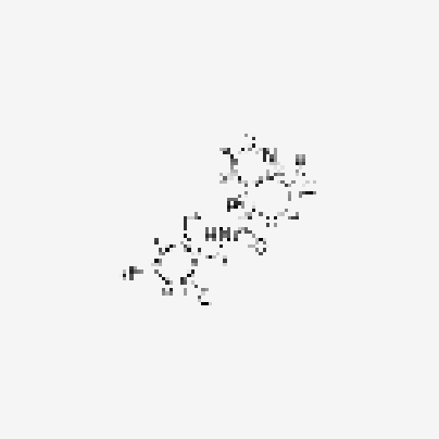 O=C(NCc1c(F)cc(F)cc1Cl)[C@]1(F)CC[C@@]2(CO2)c2ncccc21